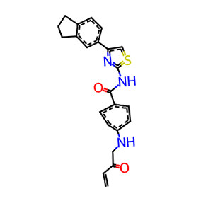 C=CC(=O)CNc1ccc(C(=O)Nc2nc(-c3ccc4c(c3)CCC4)cs2)cc1